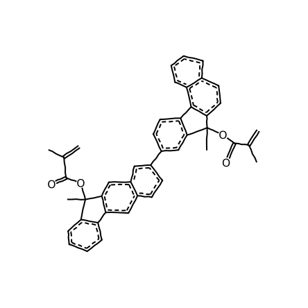 C=C(C)C(=O)OC1(C)c2ccccc2-c2cc3ccc(-c4ccc5c(c4)C(C)(OC(=O)C(=C)C)c4ccc6ccccc6c4-5)cc3cc21